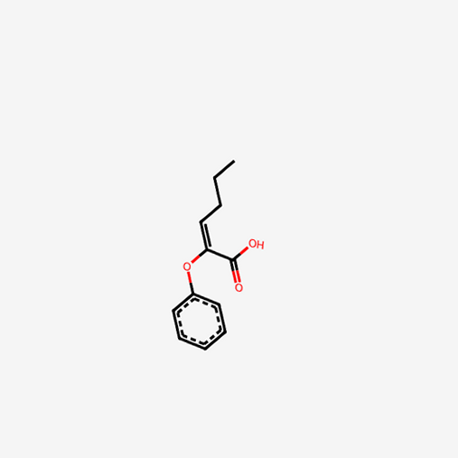 CCC/C=C(/Oc1ccccc1)C(=O)O